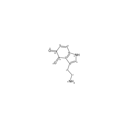 NCCc1c[nH]c2c1C(=O)C(=O)C=C2